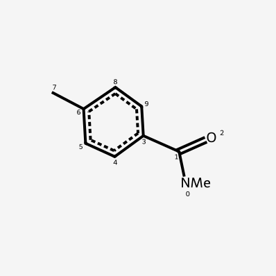 [CH2]NC(=O)c1ccc(C)cc1